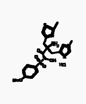 COc1ccc(S(=O)(=O)N(O)C(=O)C(N)(Cc2cn(C)cn2)Cc2csc(C)n2)cc1.Cl